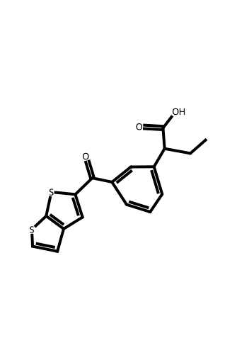 CCC(C(=O)O)c1cccc(C(=O)c2cc3ccsc3s2)c1